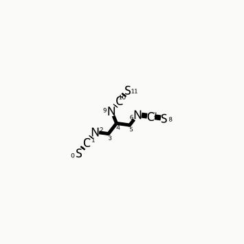 S=C=NCC(CN=C=S)N=C=S